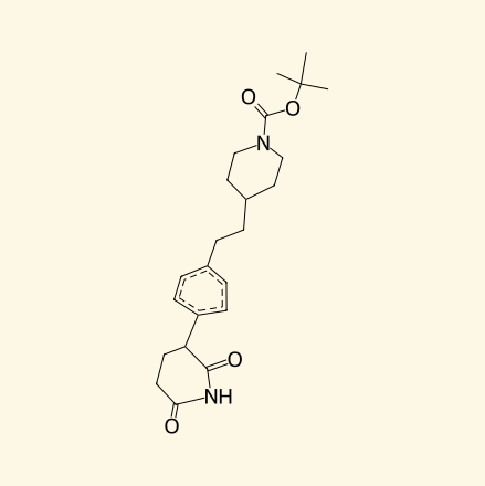 CC(C)(C)OC(=O)N1CCC(CCc2ccc(C3CCC(=O)NC3=O)cc2)CC1